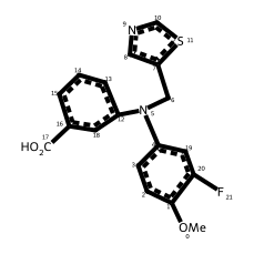 COc1ccc(N(Cc2cncs2)c2cccc(C(=O)O)c2)cc1F